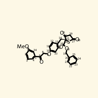 COc1cccc(C(=O)COc2ccc(C[C@]3(C(=O)OCc4ccccc4)SC(=O)CC3=O)cc2)c1